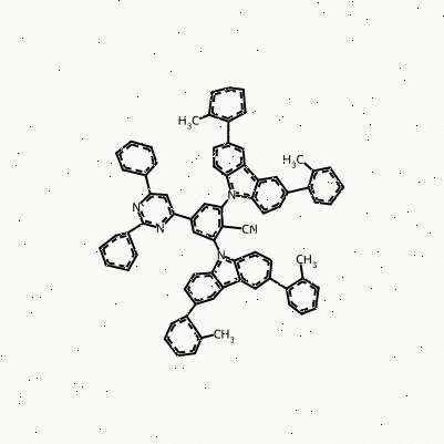 Cc1ccccc1-c1ccc2c(c1)c1cc(-c3ccccc3C)ccc1n2-c1cc(-c2cc(-c3ccccc3)nc(-c3ccccc3)n2)cc(-n2c3ccc(-c4ccccc4C)cc3c3cc(-c4ccccc4C)ccc32)c1C#N